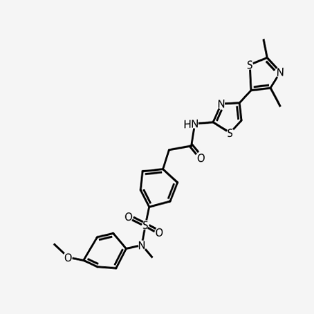 COc1ccc(N(C)S(=O)(=O)c2ccc(CC(=O)Nc3nc(-c4sc(C)nc4C)cs3)cc2)cc1